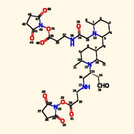 CC1CCCC(CC2CCC(C)N([C@H](CC=O)CNCCC(=O)ON3C(=O)CCC3=O)C2C)N1CC(=O)NCCC(=O)ON1C(=O)CCC1=O